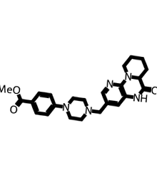 COC(=O)c1ccc(N2CCN(Cc3cnc4c(c3)NC(=O)C3CCCCN43)CC2)cc1